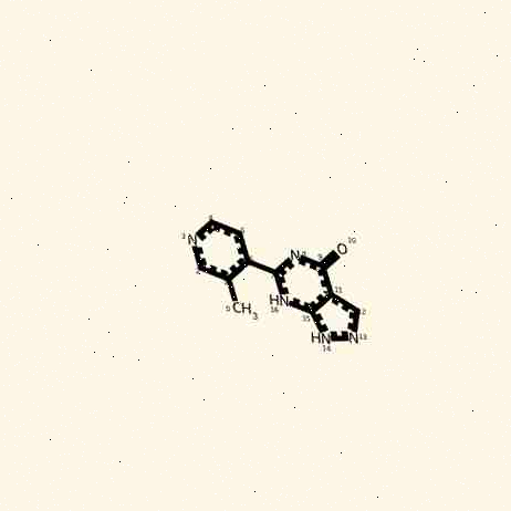 Cc1cnccc1-c1nc(=O)c2cn[nH]c2[nH]1